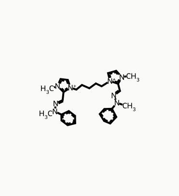 CN(/N=C/c1n(C)cc[n+]1CCCCC[n+]1ccn(C)c1/C=N/N(C)c1ccccc1)c1ccccc1